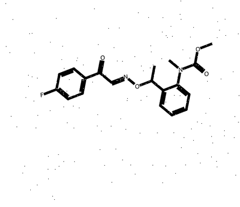 COC(=O)N(C)c1ccccc1C(C)ON=CC(=O)c1ccc(F)cc1